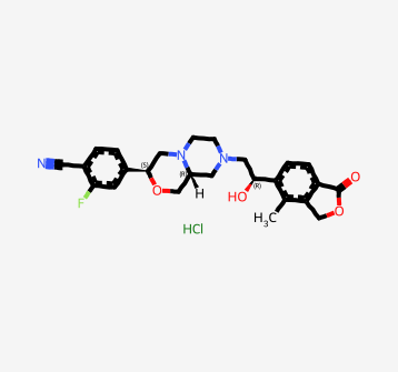 Cc1c([C@@H](O)CN2CCN3C[C@H](c4ccc(C#N)c(F)c4)OC[C@H]3C2)ccc2c1COC2=O.Cl